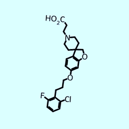 O=C(O)CCN1CCC2(CC1)COc1cc(OCCCc3c(F)cccc3Cl)ccc12